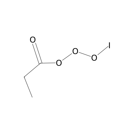 CCC(=O)OOOI